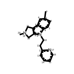 Cc1ccc2c(c1)c1c(n2CCc2ccccn2)CN(C)C1